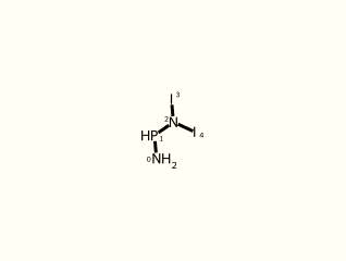 NPN(I)I